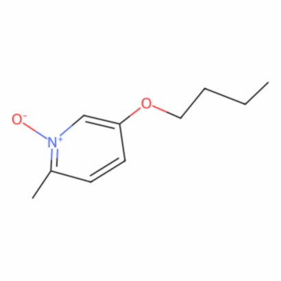 CCCCOc1ccc(C)[n+]([O-])c1